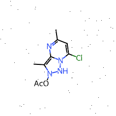 CC(=O)ON1NN2C(Cl)=CC(C)=NC2=C1C